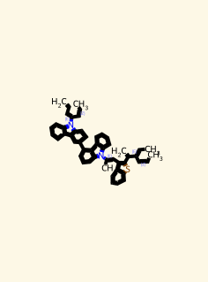 C=C/C=C(\C=C/C)n1c2ccccc2c2cc(-c3cccc4c3c3ccccc3n4/C(C)=C/c3c(C(=C)C(/C=C\C)=C/C)sc4ccccc34)ccc21